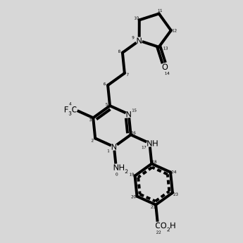 NN1CC(C(F)(F)F)=C(CCCN2CCCC2=O)N=C1Nc1ccc(C(=O)O)cc1